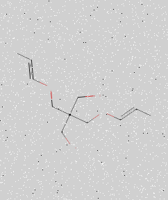 CC=COCC(CO)(CO)COC=CC